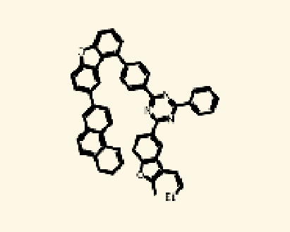 CC/C=C\c1c(C)oc2c1C=C(c1nc(-c3ccccc3)nc(-c3ccc(-c4cccc5oc6ccc(-c7ccc8c9c(ccc8c7)CCC=C9)cc6c45)cc3)n1)CC2